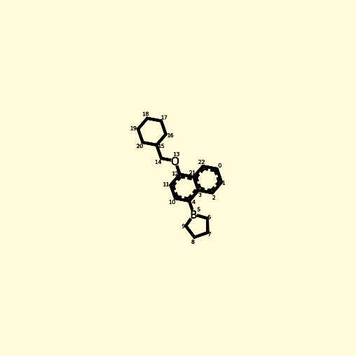 c1ccc2c(B3CCCC3)ccc(OCC3CCCCC3)c2c1